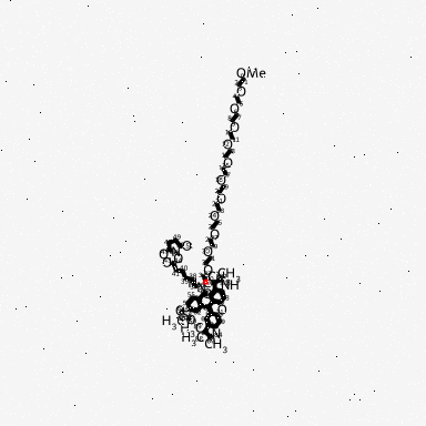 COCCOCCOCCOCCOCCOCCOCCOCCOCCOCCOCCOCCN(CCCCCC(=O)ON1C(=O)CCC1=O)C(=O)c1ccc(S(C)(=O)=O)cc1C1=c2cc3c(cc2Oc2cc4c(cc21)C(C)(C)C(C)N4)=NC(C)C3(C)C